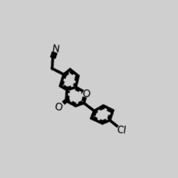 N#CCc1ccc2oc(-c3ccc(Cl)cc3)cc(=O)c2c1